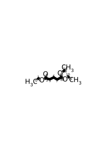 CCOC(=O)CCCC(OCC)OCC